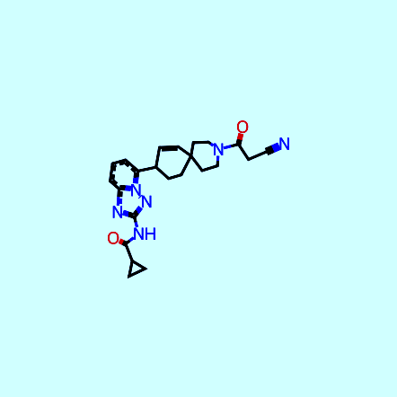 N#CCC(=O)N1CCC2(C=CC(c3cccc4nc(NC(=O)C5CC5)nn34)CC2)CC1